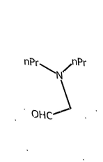 CCCN(CC=O)CCC